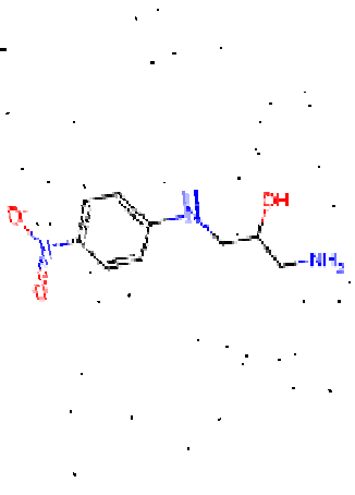 NCC(O)CNc1ccc([N+](=O)[O-])cc1